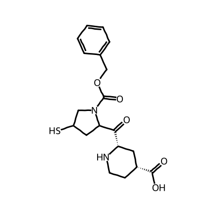 O=C(O)[C@@H]1CCN[C@H](C(=O)C2CC(S)CN2C(=O)OCc2ccccc2)C1